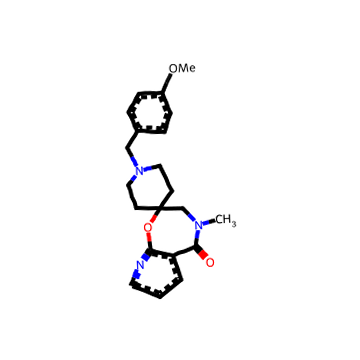 COc1ccc(CN2CCC3(CC2)CN(C)C(=O)c2cccnc2O3)cc1